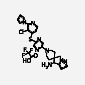 N[C@@H]1c2ccnn2CC12CCN(c1cnc(Sc3ccnc(-n4cccc4)c3Cl)cn1)CC2.O=C(O)C(F)(F)F